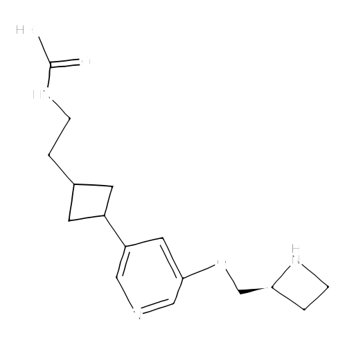 CC(=O)NCCC1CC(c2cncc(OC[C@@H]3CCN3)c2)C1